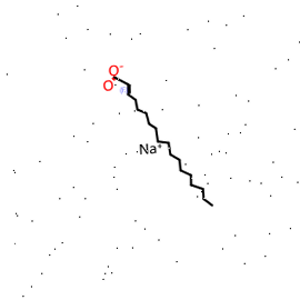 CCCCCCCCCCCCCCC/C=C/C(=O)[O-].[Na+]